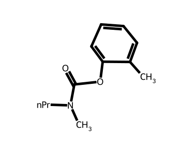 CCCN(C)C(=O)Oc1ccccc1C